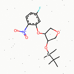 CC(C)(C)[Si](C)(C)OC1COCC1Oc1cc(F)ccc1[N+](=O)[O-]